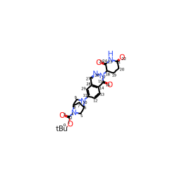 CC(C)(C)OC(=O)N1CC2CC1CN2c1ccc2c(=O)n(C3CCC(=O)NC3=O)ncc2c1